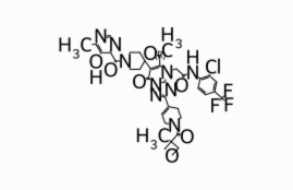 Cc1ncnc(C(=O)N2CCC3(CC2)O[C@H](C)c2c3c(=O)n3nc(C4=CCN(C(=O)C5(C)COC5)CC4)nc3n2CC(=O)Nc2ccc(C(F)(F)F)cc2Cl)c1O